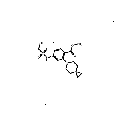 CCS(=O)(=O)Nc1ccc(C(=O)OC)c(N2CCC3(CC2)CC3)c1